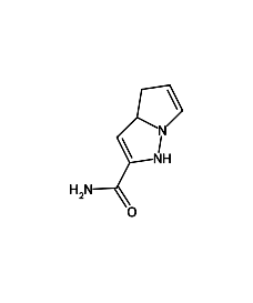 NC(=O)C1=CC2CC=CN2N1